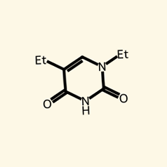 CCc1cn(CC)c(=O)[nH]c1=O